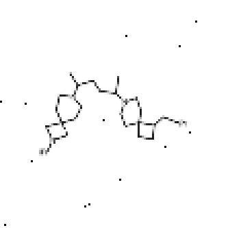 CC(C)CC1CCC12CCN(C(C)CCC(C)N1CCC3(CC1)CN(C(C)C)C3)CC2